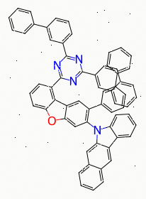 c1ccc(-c2cccc(-c3nc(-c4ccc5ccccc5c4)nc(-c4cccc5oc6cc(-n7c8ccccc8c8cc9ccccc9cc87)c(-c7cccc(-c8ccccc8)c7)cc6c45)n3)c2)cc1